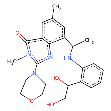 Cc1cc(C(C)Nc2ccccc2C(O)CO)c2nc(N3CCOCC3)n(C)c(=O)c2c1